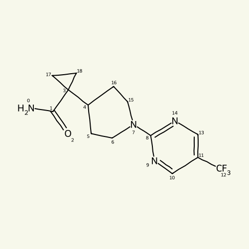 NC(=O)C1(C2CCN(c3ncc(C(F)(F)F)cn3)CC2)CC1